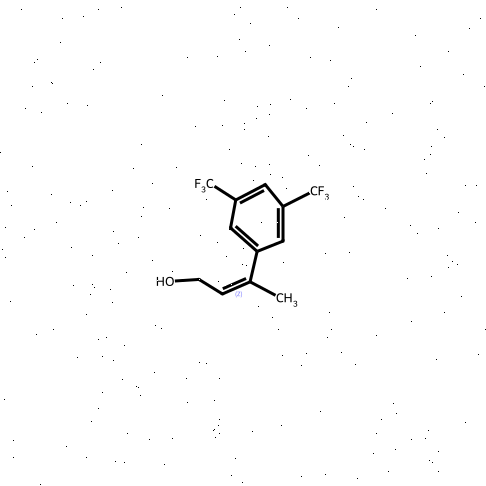 C/C(=C/CO)c1cc(C(F)(F)F)cc(C(F)(F)F)c1